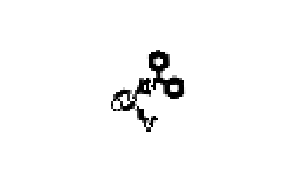 CN(C)CC[C@@H]1COCCN1C1CN(C(c2ccccc2)c2ccccc2)C1